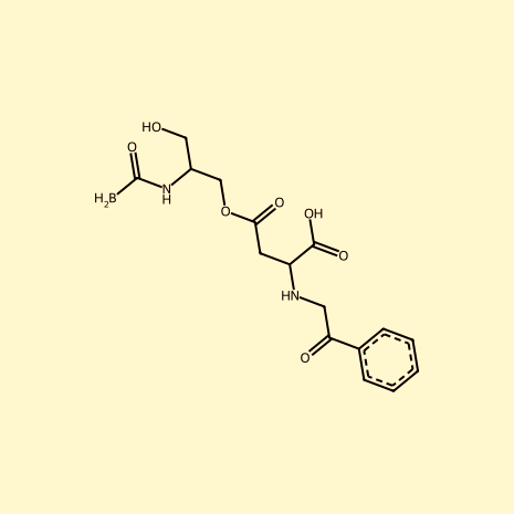 BC(=O)NC(CO)COC(=O)CC(NCC(=O)c1ccccc1)C(=O)O